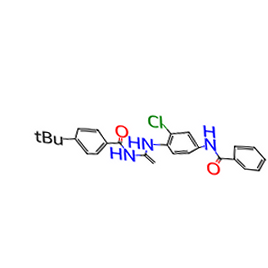 C=C(NC(=O)c1ccc(C(C)(C)C)cc1)Nc1ccc(NC(=O)c2ccccc2)cc1Cl